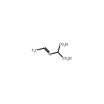 CCOC(=O)C(N=CC(F)(F)F)C(=O)OCC